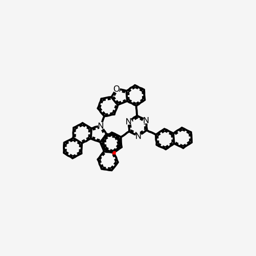 c1ccc(-c2nc(-c3ccc4ccccc4c3)nc(-c3cccc4oc5ccc(-n6c7ccc8ccccc8c7c7c8ccccc8ccc76)cc5c34)n2)cc1